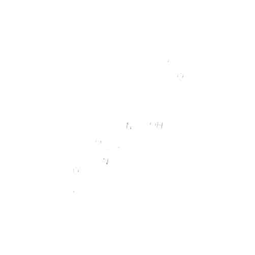 Cc1c(C(O)CN2CCC3(CC2)CC(C2CC2)N(C2=CC(=O)OC2)C3=O)ccc2c1COC2=O